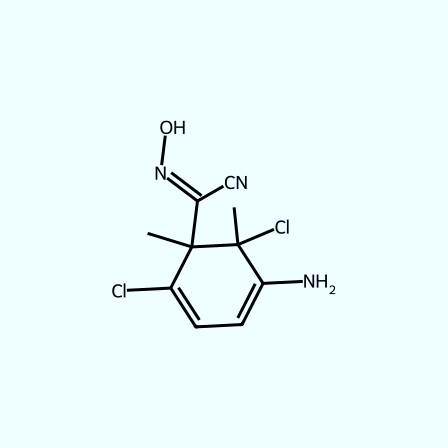 CC1(Cl)C(N)=CC=C(Cl)C1(C)C(C#N)=NO